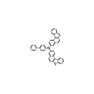 c1ccc(-c2ccc(N(c3ccc4c(ccc5sc6ccccc6c54)c3)c3ccc4c(ccc5sc6ccccc6c54)c3)cc2)cc1